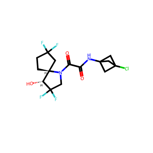 O=C(NC12CC(Cl)(C1)C2)C(=O)N1CC(F)(F)[C@H](O)[C@@]12CCC(F)(F)C2